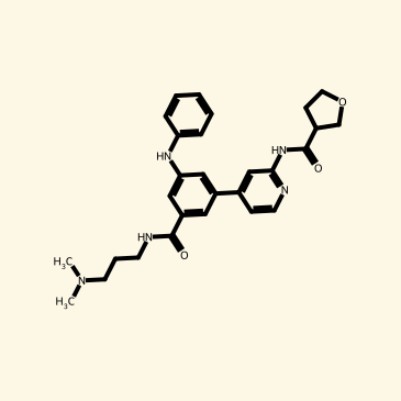 CN(C)CCCNC(=O)c1cc(Nc2ccccc2)cc(-c2ccnc(NC(=O)C3CCOC3)c2)c1